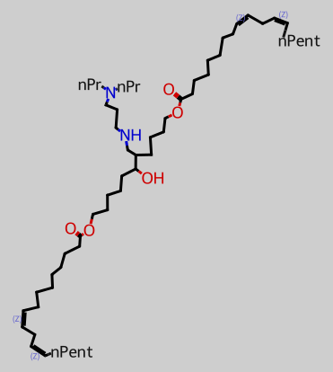 CCCCC/C=C\C/C=C\CCCCCCCC(=O)OCCCCCC(O)C(CCCCOC(=O)CCCCCCC/C=C\C/C=C\CCCCC)CNCCCN(CCC)CCC